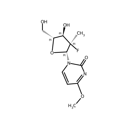 COc1ccn([C@@H]2O[C@H](CO)[C@@H](O)[C@@]2(C)F)c(=O)n1